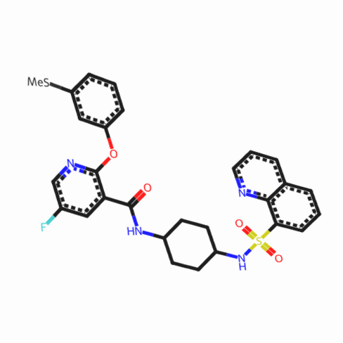 CSc1cccc(Oc2ncc(F)cc2C(=O)NC2CCC(NS(=O)(=O)c3cccc4cccnc34)CC2)c1